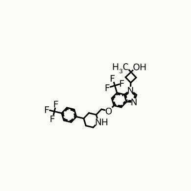 CC1(O)CC(n2cnc3cc(OCC4CC(c5ccc(C(F)(F)F)cc5)CCN4)cc(C(F)(F)F)c32)C1